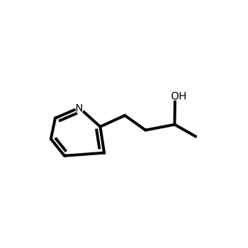 CC(O)CCc1ccccn1